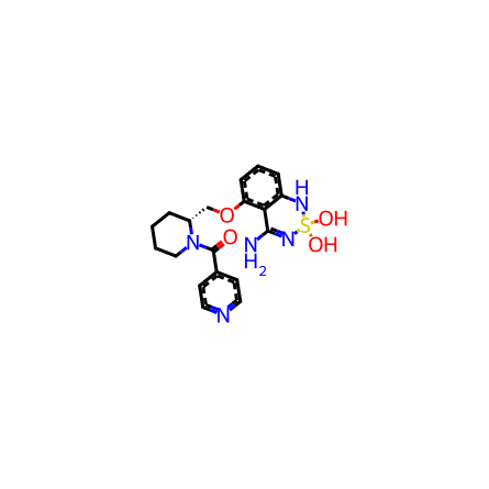 NC1=NS(O)(O)Nc2cccc(OC[C@H]3CCCCN3C(=O)c3ccncc3)c21